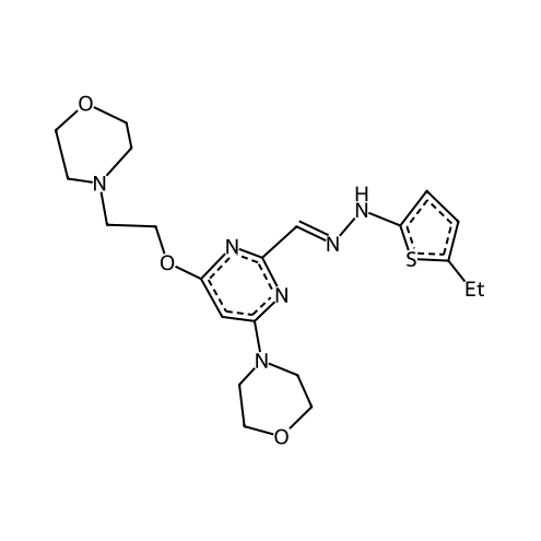 CCc1ccc(NN=Cc2nc(OCCN3CCOCC3)cc(N3CCOCC3)n2)s1